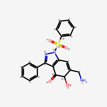 NCC1=Cc2c(c(-c3ccccc3)nn2S(=O)(=O)c2ccccc2)C(=O)C1O